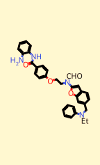 CCN(Cc1ccc2cc(N(C=O)CCOc3ccc(C(=O)Nc4ccccc4N)cc3)oc2c1)c1ccccc1